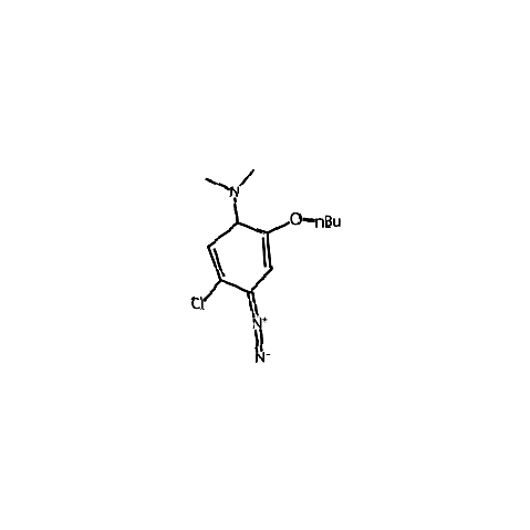 CCCCOC1=CC(=[N+]=[N-])C(Cl)=CC1N(C)C